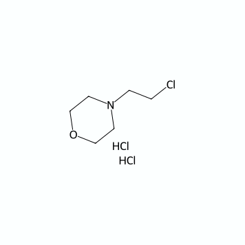 Cl.Cl.ClCCN1CCOCC1